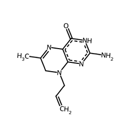 C=CCN1CC(C)=Nc2c1nc(N)[nH]c2=O